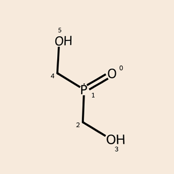 O=[P](CO)CO